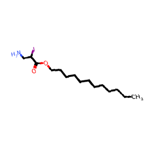 CCCCCCCCCCCCOC(=O)C(I)CN